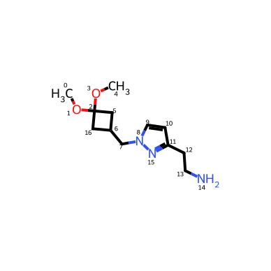 COC1(OC)CC(Cn2ccc(CCN)n2)C1